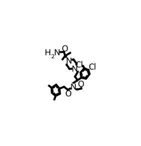 Cc1cc(C)cc(CC(=O)N2CCOC(CCN3CCN(C(C)(C)C(N)=O)CC3)(c3ccc(Cl)c(Cl)c3)C2)c1